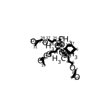 C[Si](C)(CCCOCC1CO1)O[Si](CCCOCC1CO1)(O[Si](C)(C)CCCOCC1CO1)c1ccccc1